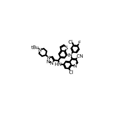 CC(C)(C)N1CCC(n2cc(C(Nc3cc(Cl)c4ncc(C#N)c(Nc5ccc(F)c(Cl)c5)c4c3)c3ccc4sccc4c3)nn2)CC1